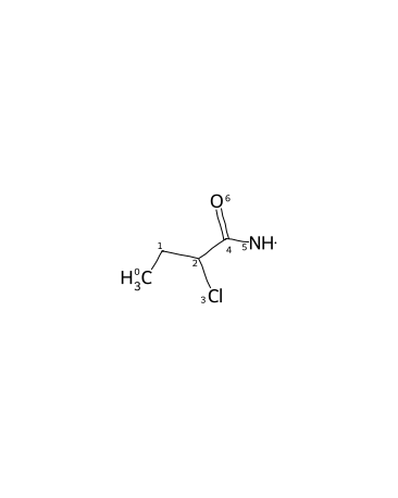 CCC(Cl)C([NH])=O